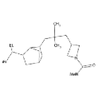 CCC(C(C)C)C1CC2CC(CC(C)(C)CC3CN(C(=O)NC)C3)C1C2